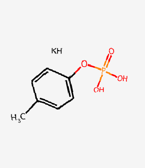 Cc1ccc(OP(=O)(O)O)cc1.[KH]